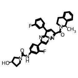 C[C@@H]1c2ccccc2CCN1C(=O)c1cc(-c2cccc(F)c2)c2nc(-c3ccc(NC(=O)N4CC[C@@H](O)C4)cc3F)cn2n1